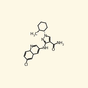 C[C@H]1CCCC[C@@H]1n1cc(C(N)=O)c(NC2=CC3C=C(Cl)C=CC3N=C2)n1